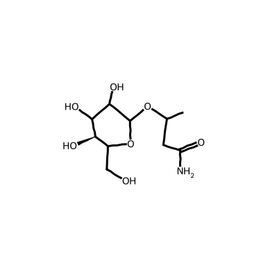 CC(CC(N)=O)OC1OC(CO)[C@@H](O)C(O)C1O